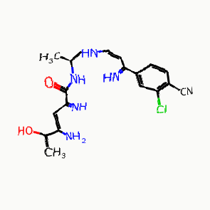 CC(O)/C(N)=C/C(=N)C(=O)N[C@@H](C)CN/C=C\C(=N)c1ccc(C#N)c(Cl)c1